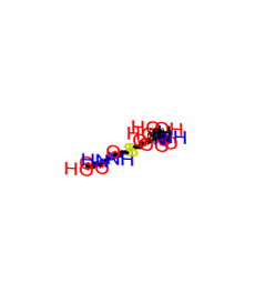 O=C(O)CCC(=O)NCCNC(=O)CCCSSCCC(=O)OCC[C@@H]1[C@@H](O)[C@H](O)[C@H](O)[C@H]2NC(=O)C(=O)N12